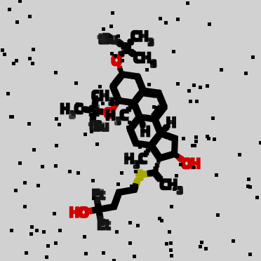 CCC(O)(CC)CCCSC(C)[C@H]1[C@H](O)C[C@H]2C3=CC=C4C[C@@H](O[Si](C)(C)C(C)(C)C)C[C@H](O[Si](C)(C)C(C)(C)C)[C@]4(C)[C@H]3CC[C@@]21C